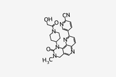 CN1Cc2cnc3ccc(-c4ccc(C#N)nc4)nc3c2N(C2CCN(C(=O)CO)CC2)C1=O